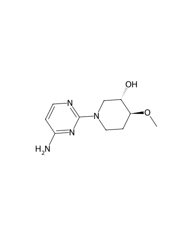 CO[C@H]1CCN(c2nccc(N)n2)C[C@@H]1O